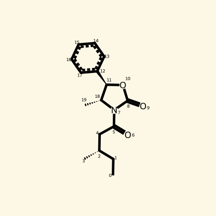 CC[C@H](C)CC(=O)N1C(=O)O[C@H](c2ccccc2)[C@H]1C